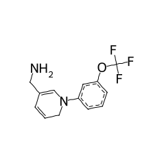 NCC1=CN(c2cccc(OC(F)(F)F)c2)CC=C1